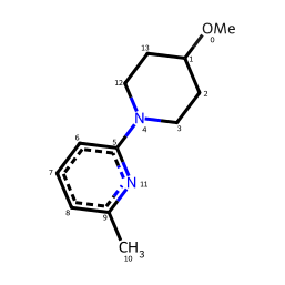 COC1CCN(c2cccc(C)n2)CC1